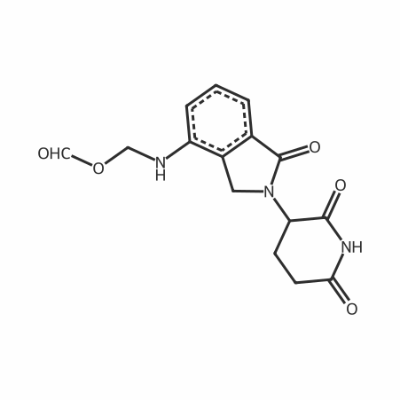 O=COCNc1cccc2c1CN(C1CCC(=O)NC1=O)C2=O